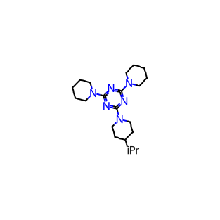 CC(C)C1CCN(c2nc(N3CCCCC3)nc(N3CCCCC3)n2)CC1